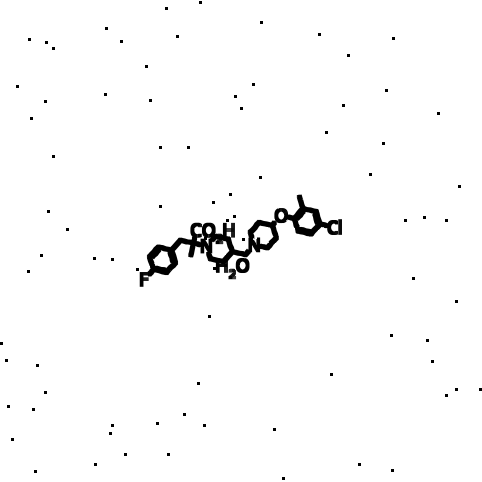 Cc1cc(Cl)ccc1OC1CCN(CC2CCN(C(C)(Cc3ccc(F)cc3)C(=O)O)CC2)CC1.O